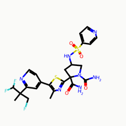 Cc1nc(C2(C(N)=O)CC(NS(=O)(=O)c3ccncc3)CN2C(N)=O)sc1-c1ccnc(C(C)(CF)C(F)F)c1